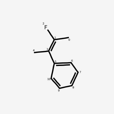 C/C(F)=C(/C)c1ccccc1